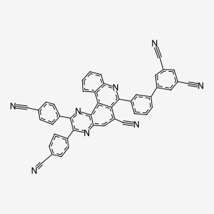 N#Cc1ccc(-c2nc3cc(C#N)c4c(-c5cccc(-c6cc(C#N)cc(C#N)c6)c5)nc5ccccc5c4c3nc2-c2ccc(C#N)cc2)cc1